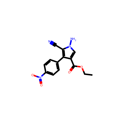 CCOC(=O)c1cn(N)c(C#N)c1-c1ccc([N+](=O)[O-])cc1